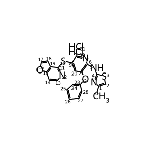 Cc1csc(Nc2ncc(Sc3nccc4occc34)cc2Oc2ccccc2)n1.Cl.Cl